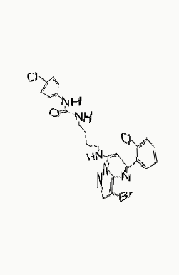 O=C(NCCCCNc1cc(-c2ccccc2Cl)nc2c(Br)cnn12)Nc1ccc(Cl)cc1